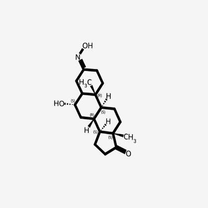 C[C@]12CCC(=NO)CC1[C@@H](O)C[C@@H]1[C@@H]2CC[C@]2(C)C(=O)CC[C@@H]12